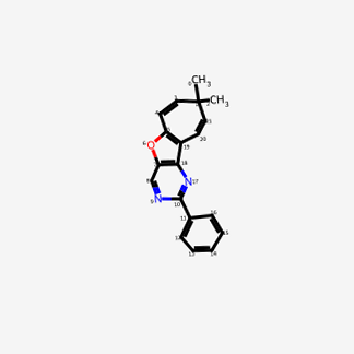 CC1(C)C=Cc2oc3cnc(-c4ccccc4)nc3c2C=C1